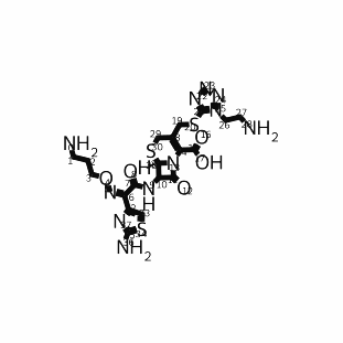 NCCCO/N=C(\C(=O)NC1C(=O)N2C(C(=O)O)=C(CSc3nnnn3CCN)CS[C@H]12)c1csc(N)n1